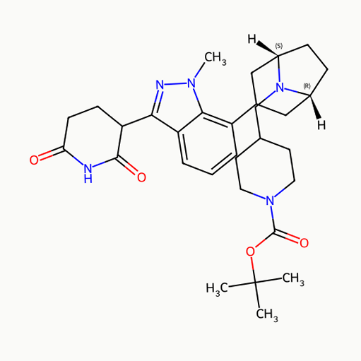 Cn1nc(C2CCC(=O)NC2=O)c2cccc(C3C[C@H]4CC[C@@H](C3)N4CC3CCN(C(=O)OC(C)(C)C)CC3)c21